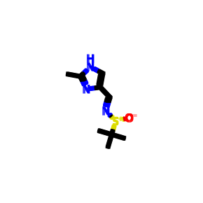 Cc1nc(C=N[S+]([O-])C(C)(C)C)c[nH]1